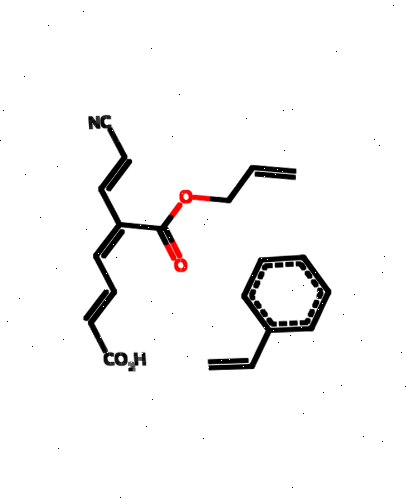 C=CCOC(=O)C(C=CC#N)=CC=CC(=O)O.C=Cc1ccccc1